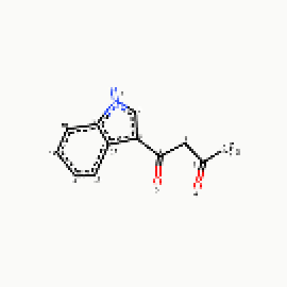 O=C(CC(=O)C(F)(F)F)c1c[nH]c2ccccc12